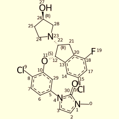 Cn1ccn(-c2ccc(Cl)c(O[C@H]3c4cc(Cl)cc(F)c4C[C@H]3N3CC[C@@H](O)C3)c2)c1=O